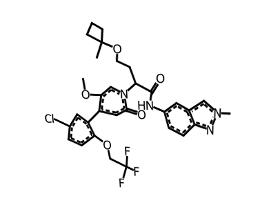 COc1cn(C(CCOC2(C)CCC2)C(=O)Nc2ccc3nn(C)cc3c2)c(=O)cc1-c1cc(Cl)ccc1OCC(F)(F)F